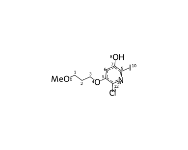 COCCCOc1cc(O)c(I)nc1Cl